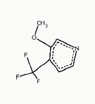 COc1[c]nccc1C(F)(F)F